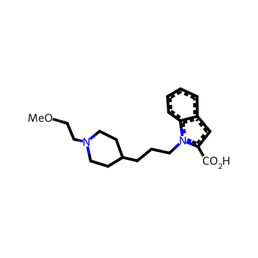 COCCN1CCC(CCCn2c(C(=O)O)cc3ccccc32)CC1